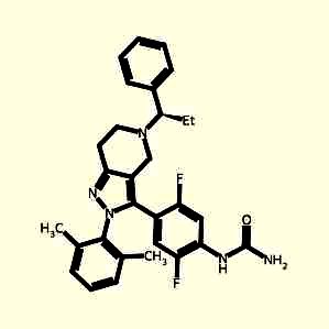 CC[C@H](c1ccccc1)N1CCc2nn(-c3c(C)cccc3C)c(-c3cc(F)c(NC(N)=O)cc3F)c2C1